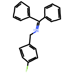 Fc1ccc(C[15N]=C(c2ccccc2)c2ccccc2)cc1